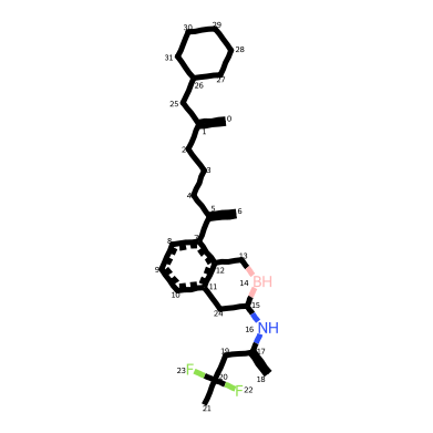 C=C(CCCC(=C)c1cccc2c1CBC(NC(=C)CC(C)(F)F)C2)CC1CCCCC1